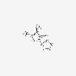 Cc1sc2c(sc3sccc32)c1C